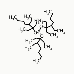 CCCCC(CC)C(CC)(CC)OP(OC(CC)(CC)C(CC)CCCC)OC(CC)(CC)C(CC)CCCC